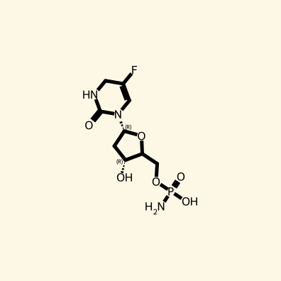 NP(=O)(O)OCC1O[C@@H](N2C=C(F)CNC2=O)C[C@H]1O